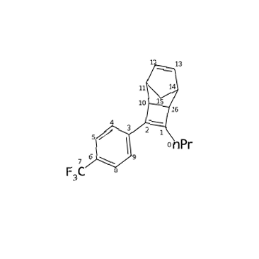 CCCC1=C(c2ccc(C(F)(F)F)cc2)C2C3C=CC(C3)C12